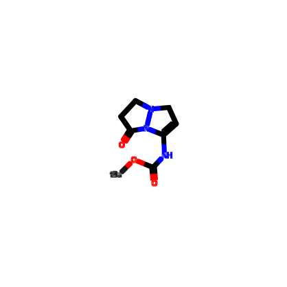 CC(C)(C)OC(=O)NC1=CCN2CCC(=O)N12